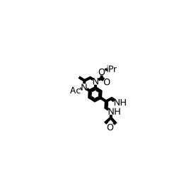 CC(=O)N1c2ccc(/C(C=N)=C/NC3COC3)cc2N(C(=O)OC(C)C)CC1C